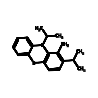 CC(C)B1c2ccccc2Sc2ccc(C(C)C)c(N)c21